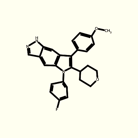 COc1ccc(-c2c(C3CCOCC3)n(-c3ccc(F)cc3)c3cc4cn[nH]c4cc23)cc1